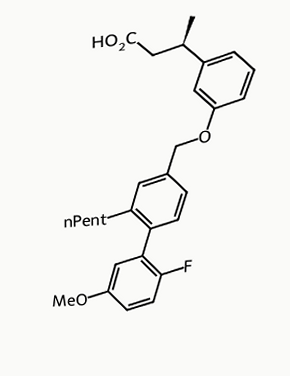 CCCCCc1cc(COc2cccc([C@H](C)CC(=O)O)c2)ccc1-c1cc(OC)ccc1F